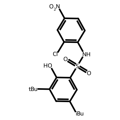 CCC(C)c1cc(C(C)(C)C)c(O)c(S(=O)(=O)Nc2ccc([N+](=O)[O-])cc2Cl)c1